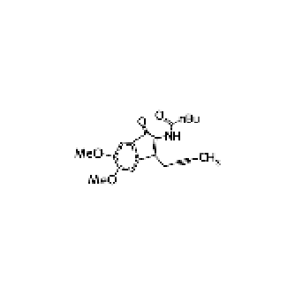 CC#CCC1=C(NC(=O)CCCC)C(=O)c2cc(OC)c(OC)cc21